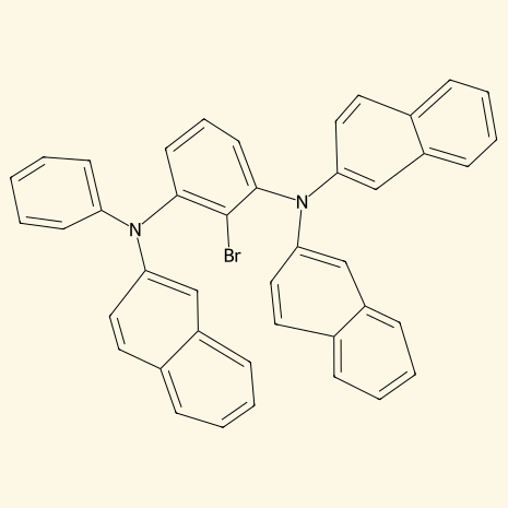 Brc1c(N(c2ccccc2)c2ccc3ccccc3c2)cccc1N(c1ccc2ccccc2c1)c1ccc2ccccc2c1